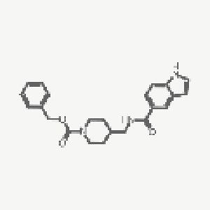 O=C(NCC1CCN(C(=O)OCc2ccccc2)CC1)c1ccc2[nH]ccc2c1